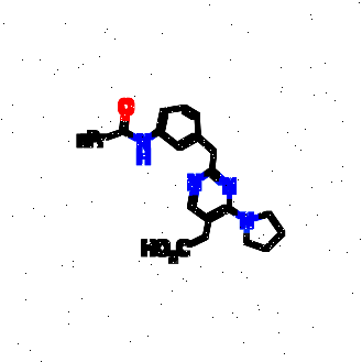 CCCC(=O)Nc1cccc(Cc2ncc(CC(=O)O)c(N3CCCC3)n2)c1